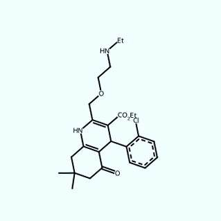 CCNCCOCC1=C(C(=O)OCC)C(c2ccccc2Cl)C2=C(CC(C)(C)CC2=O)N1